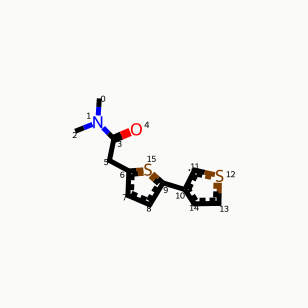 CN(C)C(=O)Cc1ccc(-c2[c]scc2)s1